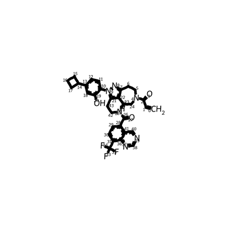 C=CC(=O)N1CCc2nn(-c3ccc(C4CCC4)cc3O)c3c2[C@H](C1)N(C(=O)c1ccc(C(F)(F)F)c2ncncc12)CC3